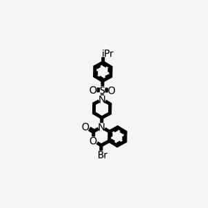 CC(C)c1ccc(S(=O)(=O)N2CCC(N3C(=O)OC(Br)c4ccccc43)CC2)cc1